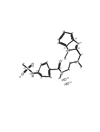 CN(CCN(C)C(=O)c1ccc(NS(C)(=O)=O)cc1)Cc1nc2ccccc2n1C.Cl.Cl